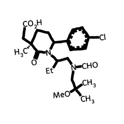 CCC(CN(C=O)CC(C)(C)OC)N1C(=O)[C@@](C)(CC(=O)O)CCC1c1ccc(Cl)cc1